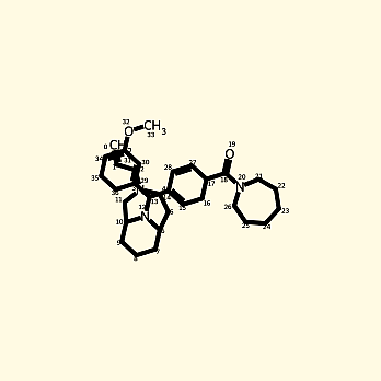 C=CCN1CCC2CCCC(C1)N2C(C1=CCC(C(=O)N2CCCCCC2)C=C1)C1=CC(OC)=CCC1